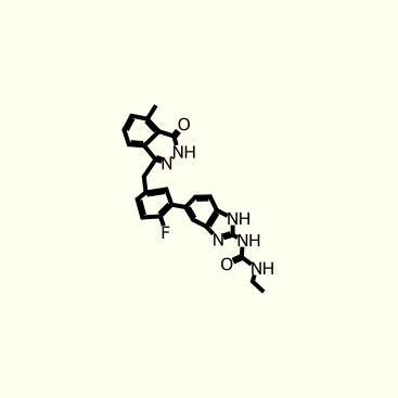 CCNC(=O)Nc1nc2cc(-c3cc(Cc4n[nH]c(=O)c5c(C)cccc45)ccc3F)ccc2[nH]1